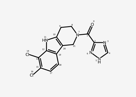 O=C(c1nc[nH]n1)N1CCc2[nH]c3c(Cl)c(Cl)ccc3c2C1